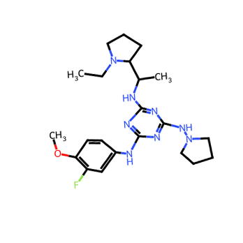 CCN1CCCC1C(C)Nc1nc(Nc2ccc(OC)c(F)c2)nc(NN2CCCC2)n1